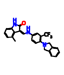 Cc1cccc2c1C(=CNc1ccc(N3Cc4ccccc4C3)c(C(F)(F)F)c1)C(=O)N2